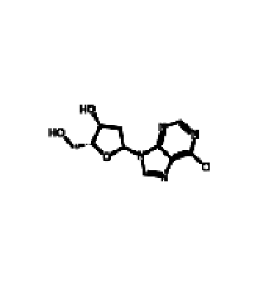 OC[C@H]1OC(n2cnc3c(Cl)ncnc32)C[C@@H]1O